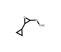 O=COC1OC1C1CC1